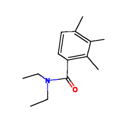 CCN(CC)C(=O)c1ccc(C)c(C)c1C